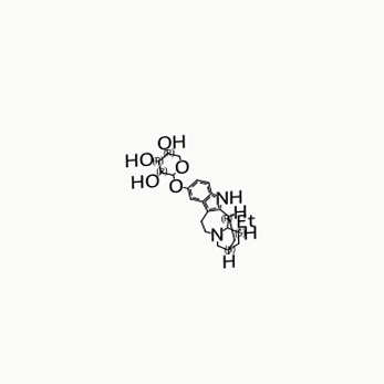 CC[C@H]1C[C@H]2C[C@H]3c4[nH]c5ccc(OC6OC[C@@H](O)[C@@H](O)[C@H]6O)cc5c4CCN(C2)C13